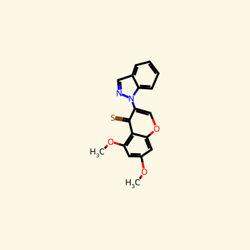 COc1cc(OC)c2c(=S)c(-n3ncc4ccccc43)coc2c1